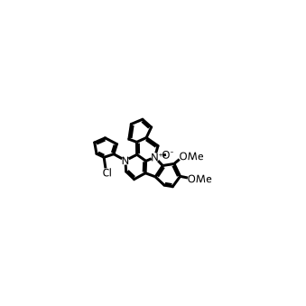 COc1ccc2c(c1OC)[N+]1([O-])C=c3ccccc3=C3C1=C2C=CN3c1ccccc1Cl